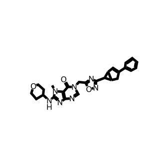 Cn1c(NC2CCOCC2)nc2ncn(Cc3nc(C4C5C=C(c6ccccc6)CC54)no3)c(=O)c21